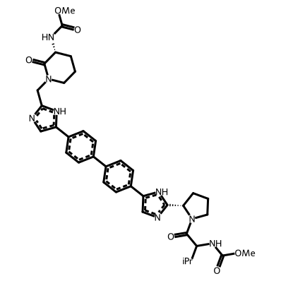 COC(=O)NC(C(=O)N1CCC[C@H]1c1ncc(-c2ccc(-c3ccc(-c4cnc(CN5CCC[C@@H](NC(=O)OC)C5=O)[nH]4)cc3)cc2)[nH]1)C(C)C